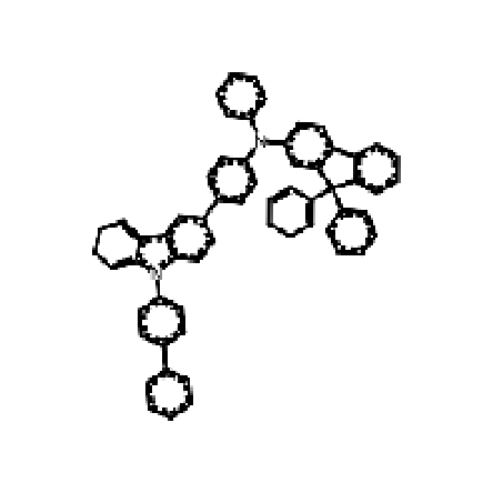 C1=CC(C2(c3ccccc3)c3ccccc3-c3ccc(N(c4ccccc4)c4ccc(-c5ccc6c(c5)c5c(n6-c6ccc(-c7ccccc7)cc6)=CCCC=5)cc4)cc32)=CCC1